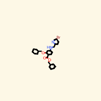 O=C(OCc1ccccc1)c1ccc(NCc2ccc(Br)cn2)cc1OCc1ccccc1